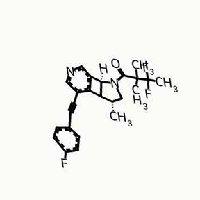 C[C@H]1CN(C(=O)C(C)(C)C(C)(F)F)[C@@H]2c3cncc(C#Cc4ccc(F)cc4)c3C21